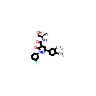 Cc1ccc(-c2cc(C(=O)N[C@@H](CO)C(C)C)c(=O)n(-c3cccc(F)c3)n2)cc1C